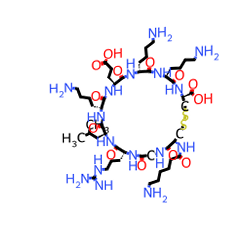 CC(C)C[C@@H]1NC(=O)[C@@H](CCCNC(=N)N)NC(=O)CNC(=O)[C@H](NC(=O)CCCCCN)CSSC[C@H](C(=O)O)NC(=O)[C@H](CCCCN)NC(=O)[C@@H](CCCCN)NC(=O)[C@H](CCC(=O)O)NC(=O)[C@@H](CCCCN)NC1=O